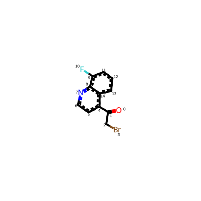 O=C(CBr)c1ccnc2c(F)cccc12